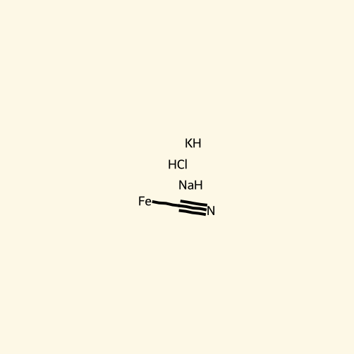 Cl.N#[C][Fe].[KH].[NaH]